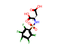 O=C(O)C[C@H](NS(=O)(=O)c1c(F)c(F)c(F)c(F)c1F)C(=O)O